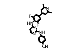 Cc1cc(-c2cc(F)c(Nc3ccnc(Nc4ccc(C#N)cc4)n3)c(F)c2)cc(C)n1